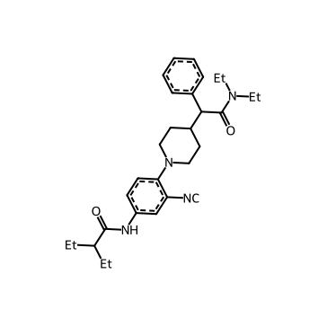 [C-]#[N+]c1cc(NC(=O)C(CC)CC)ccc1N1CCC(C(C(=O)N(CC)CC)c2ccccc2)CC1